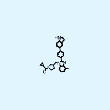 Cc1cccc2c1nc(-c1ccc(-c3ccc4[nH]ccc4c3)cc1)n2CC1CCN(C(=O)C2CC2)C1